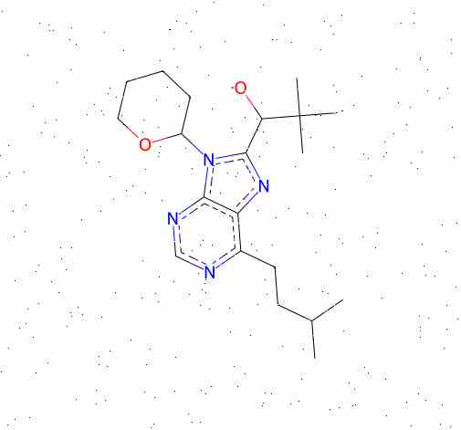 CC(C)CCc1ncnc2c1nc(C([O])C(C)(C)C)n2C1CCCCO1